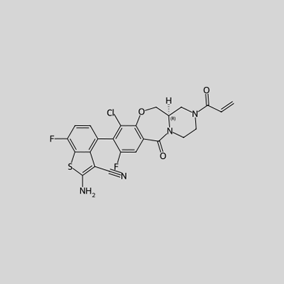 C=CC(=O)N1CCN2C(=O)c3cc(F)c(-c4ccc(F)c5sc(N)c(C#N)c45)c(Cl)c3OC[C@H]2C1